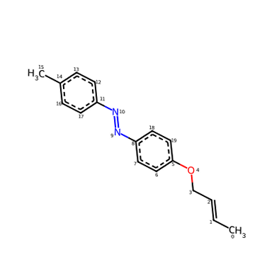 CC=CCOc1ccc(N=Nc2ccc(C)cc2)cc1